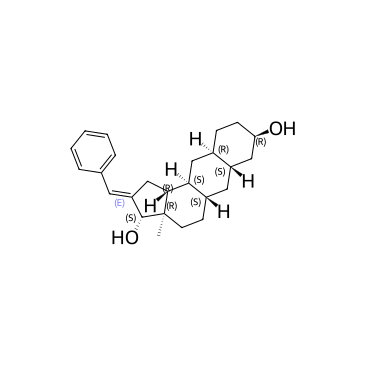 C[C@@]12CC[C@H]3C[C@H]4C[C@H](O)CC[C@@H]4C[C@@H]3[C@H]1C/C(=C\c1ccccc1)[C@H]2O